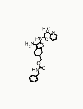 CC(CC(=O)Nc1sc2c(c1N)CCC(COC(=O)NCc1ccccc1)C2)c1ccccn1